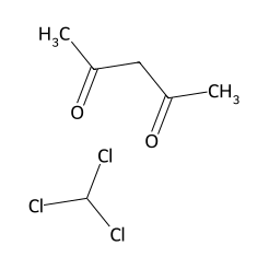 CC(=O)CC(C)=O.ClC(Cl)Cl